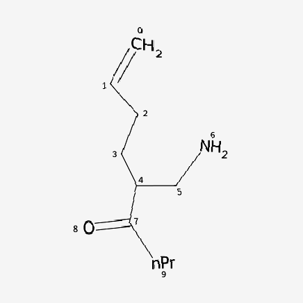 C=CCCC(CN)C(=O)CCC